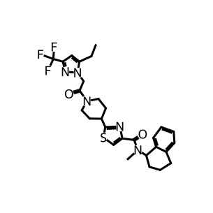 CCc1cc(C(F)(F)F)nn1CC(=O)N1CCC(c2nc(C(=O)N(C)C3CCCc4ccccc43)cs2)CC1